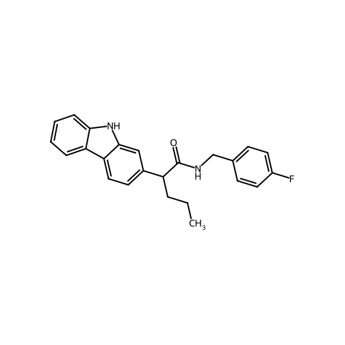 CCCC(C(=O)NCc1ccc(F)cc1)c1ccc2c(c1)[nH]c1ccccc12